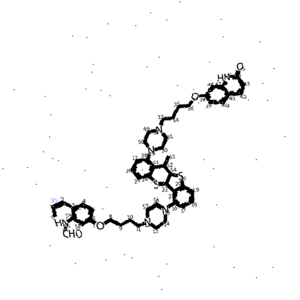 C/C=C\c1ccc(OCCCCN2CCN(c3cccc4c3C3Sc5cccc(N6CCN(CCCCOc7ccc8ccc(=O)[nH]c8c7)CC6)c5C(C)C3S4)CC2)cc1NC=O